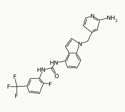 Nc1cc(Cn2ccc3c(NC(=O)Nc4cc(C(F)(F)F)ccc4F)cccc32)ccn1